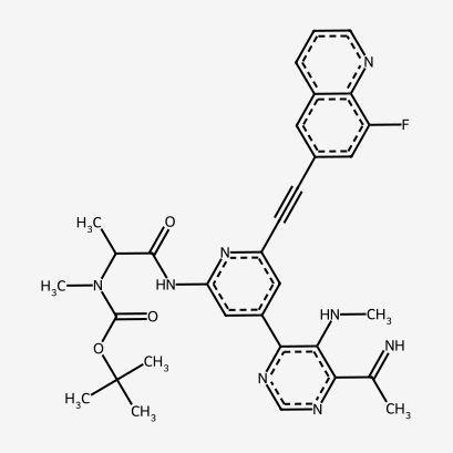 CNc1c(C(C)=N)ncnc1-c1cc(C#Cc2cc(F)c3ncccc3c2)nc(NC(=O)C(C)N(C)C(=O)OC(C)(C)C)c1